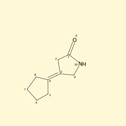 O=C1CC(=C2CCCC2)CN1